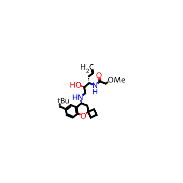 C=CC[C@H](NC(=O)COC)[C@H](O)CN[C@H]1CC2(CCC2)Oc2ccc(CC(C)(C)C)cc21